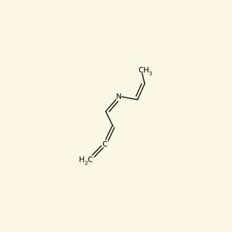 C=C=C/C=N\C=C/C